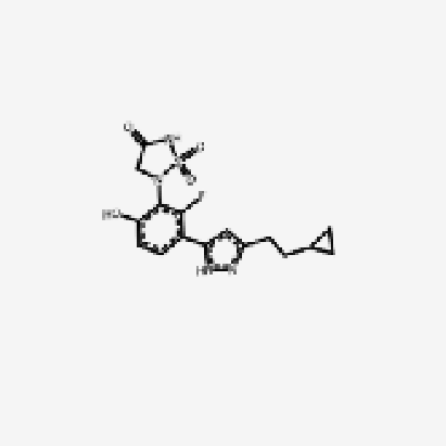 O=C1CN(c2c(O)ccc(-c3cc(CCC4CC4)n[nH]3)c2F)S(=O)(=O)N1